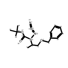 CC(COCc1ccccc1)N(N=[N+]=[N-])C(=O)OC(C)(C)C